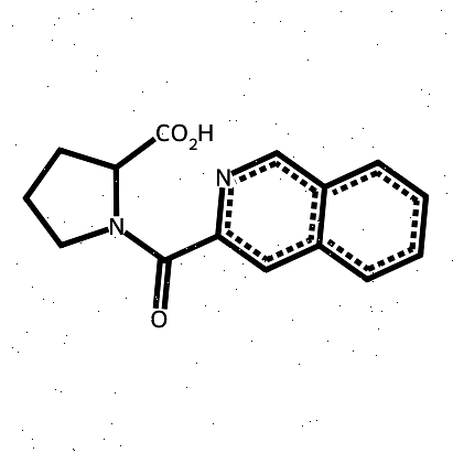 O=C(O)C1CCCN1C(=O)c1cc2ccccc2cn1